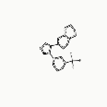 FC(F)(F)c1cccc(-c2[c]occ2-c2ccc3ccccc3c2)c1